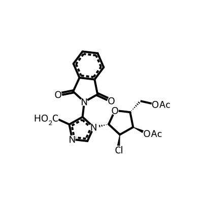 CC(=O)OC[C@H]1O[C@@H](n2cnc(C(=O)O)c2N2C(=O)c3ccccc3C2=O)[C@H](Cl)[C@@H]1OC(C)=O